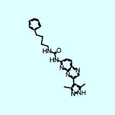 Cc1n[nH]c(C)c1-c1cnc2ccc(NC(=O)NCCCCc3ccccc3)nc2n1